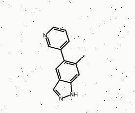 Cc1cc2[nH]ncc2cc1-c1cccnc1